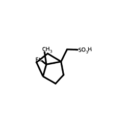 CCC1(C)C2CCC1(CS(=O)(=O)O)CC2